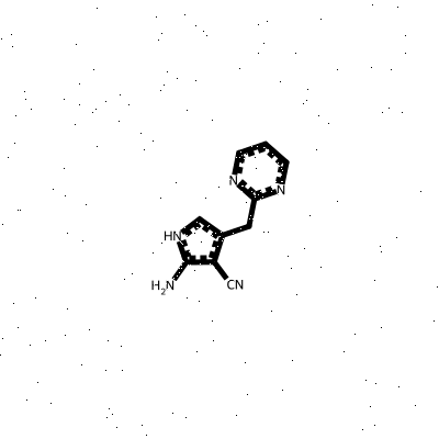 N#Cc1c(Cc2ncccn2)c[nH]c1N